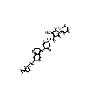 Cc1c(C(=O)Nc2ccc(Oc3ccnc4cc(OCC5CCC6(CC6)O5)ccc34)c(F)c2)c(=O)n(-c2ccccc2)n1C